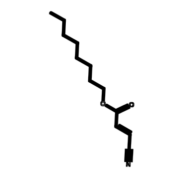 CCCCCCCCOC(=O)C=CC#N